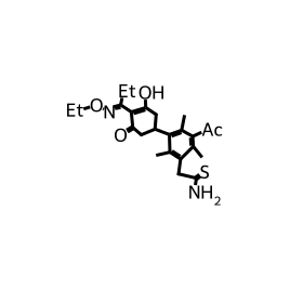 CCON=C(CC)C1=C(O)CC(c2c(C)c(CC(N)=S)c(C)c(C(C)=O)c2C)CC1=O